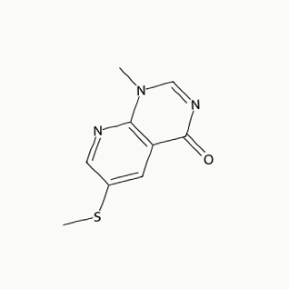 CSc1cnc2c(c1)c(=O)ncn2C